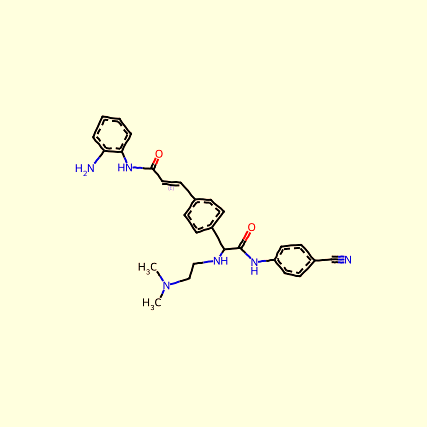 CN(C)CCNC(C(=O)Nc1ccc(C#N)cc1)c1ccc(/C=C/C(=O)Nc2ccccc2N)cc1